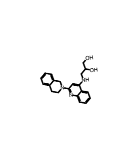 OCC(O)CNc1cc(N2CCc3ccccc3C2)nc2ccccc12